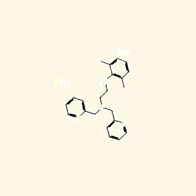 Cc1cccc(C)c1NCCN(Cc1ccccn1)Cc1ccccn1.[Cl-].[Cl-].[Ru+2]